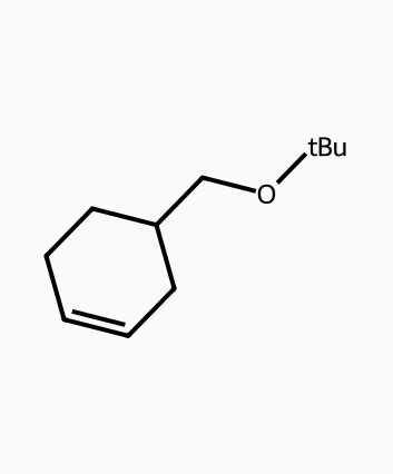 CC(C)(C)OCC1CC=CCC1